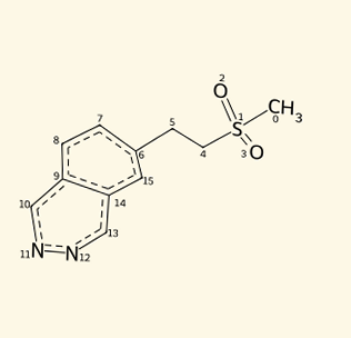 CS(=O)(=O)CCc1ccc2cnncc2c1